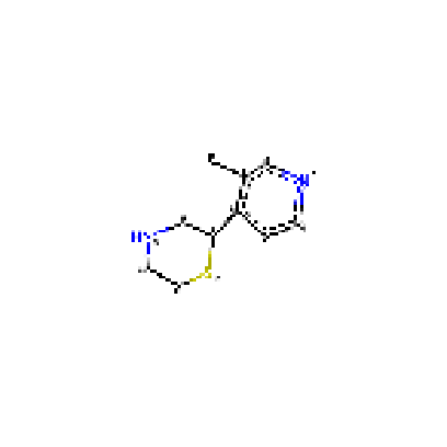 Cc1[c]nccc1C1CNCCS1